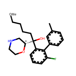 COCCCCC(O)(c1cccc(F)c1-c1cccc(C)c1)[C@H]1CNCCO1